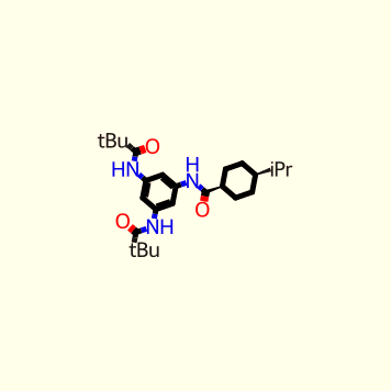 CC(C)[C@H]1CC[C@@H](C(=O)Nc2cc(NC(=O)C(C)(C)C)cc(NC(=O)C(C)(C)C)c2)CC1